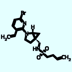 C=CCCS(=O)(=O)NC[C@]12CCN(c3nc(Br)ccc3C=C)[C@@H]1C2